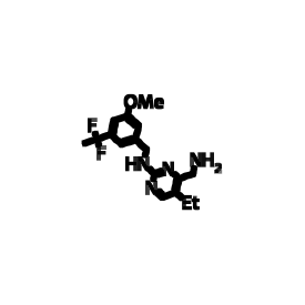 CCc1cnc(NCc2cc(OC)cc(C(C)(F)F)c2)nc1CN